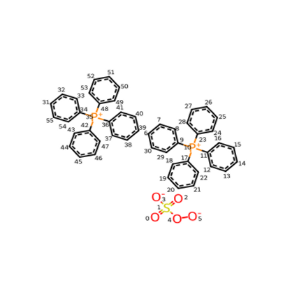 O=S(=O)([O-])O[O-].c1ccc([P+](c2ccccc2)(c2ccccc2)c2ccccc2)cc1.c1ccc([P+](c2ccccc2)(c2ccccc2)c2ccccc2)cc1